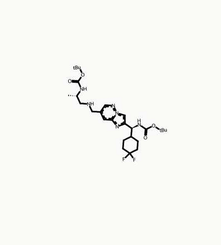 C[C@@H](CNCc1cnn2cc([C@@H](NC(=O)OC(C)(C)C)C3CCC(F)(F)CC3)nc2c1)NC(=O)OC(C)(C)C